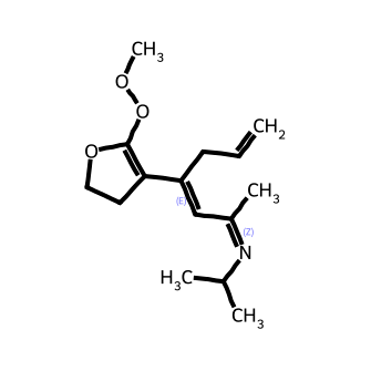 C=CC/C(=C\C(C)=N/C(C)C)C1=C(OOC)OCC1